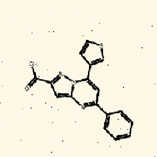 O=C(O)c1cc2nc(-c3ccccc3)cc(-c3ccsc3)n2n1